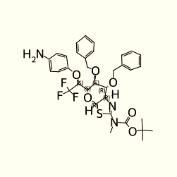 CN(C(=O)OC(C)(C)C)C1=N[C@@H]2[C@@H](OCc3ccccc3)[C@H](OCc3ccccc3)[C@@H]([C@H](Oc3ccc(N)cc3)C(F)(F)F)O[C@@H]2S1